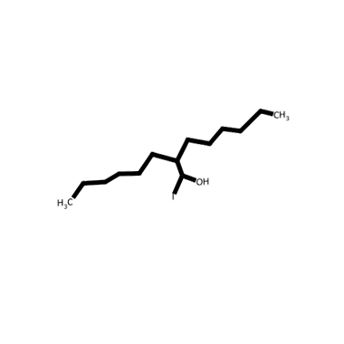 CCCCCCC(CCCCCC)C(O)I